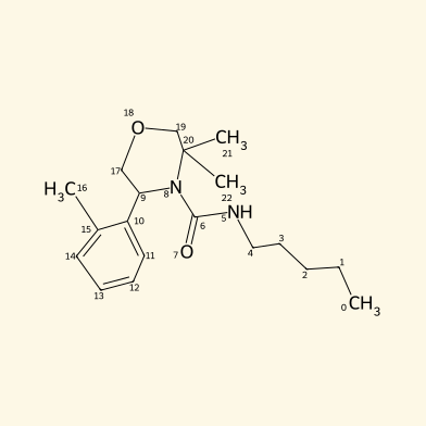 CCCCCNC(=O)N1C(c2ccccc2C)COCC1(C)C